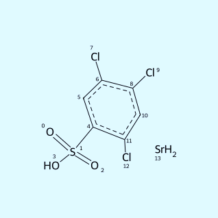 O=S(=O)(O)c1cc(Cl)c(Cl)cc1Cl.[SrH2]